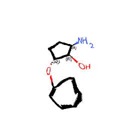 N[C@@H]1CC[C@@H](Oc2ccccc2)[C@@H]1O